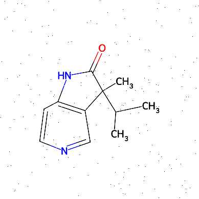 CC(C)C1(C)C(=O)Nc2ccncc21